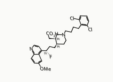 COc1ccc2nccc([C@@H](F)CC[C@@H]3CCN(CCCCc4c(Cl)cccc4Cl)C[C@@H]3CC(=O)O)c2c1